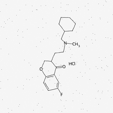 CN(CCC1COc2ccc(F)cc2C1=O)CC1CCCCC1.Cl